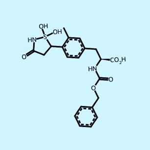 Cc1cc(C[C@H](NC(=O)OCc2ccccc2)C(=O)O)ccc1C1CC(=O)NS1(O)O